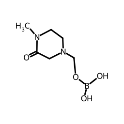 CN1CCN(COB(O)O)CC1=O